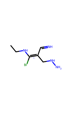 CCN/C(Br)=C(\C=N)CNN